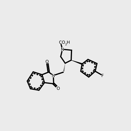 O=C(O)N1C[C@@H](CN2C(=O)c3ccccc3C2=O)[C@H](c2ccc(F)cc2)C1